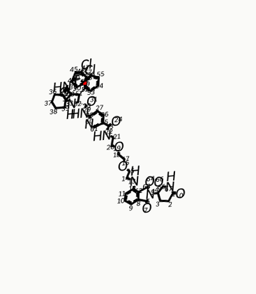 O=C1CCC(N2C(=O)c3cccc(NCCOCCOCCNC(=O)c4ccc(NC(=O)[C@@H]5NC6(CCCCC6)[C@@]6(C(=O)Nc7cc(Cl)ccc76)[C@H]5c5cccc(Cl)c5F)nc4)c3C2=O)C(=O)N1